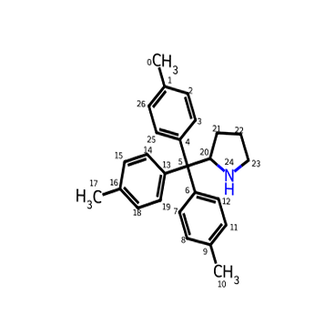 Cc1ccc(C(c2ccc(C)cc2)(c2ccc(C)cc2)C2CCCN2)cc1